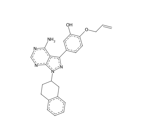 C=CCOc1ccc(-c2nn(C3CCc4ccccc4C3)c3ncnc(N)c23)cc1O